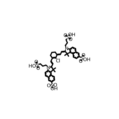 CC1(C)C(/C=C/C2=C(Cl)C(=C/C=C3/N(CCCS(=O)(=O)O)c4ccc5cc(S(=O)(=O)O)ccc5c4C3(C)C)/CCC2)=[N+](CCCS(=O)(=O)O)c2ccc3cc(S(=O)(=O)O)ccc3c21